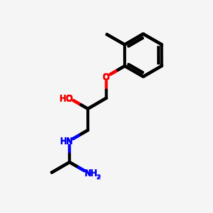 Cc1ccccc1OCC(O)CNC(C)N